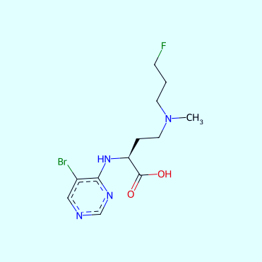 CN(CCCF)CC[C@H](Nc1ncncc1Br)C(=O)O